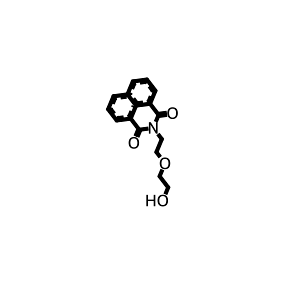 O=C1c2cccc3cccc(c23)C(=O)N1CCOCCO